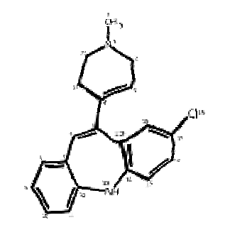 CN1CC=C(C2=Cc3ccccc3Nc3ccc(Cl)cc32)CC1